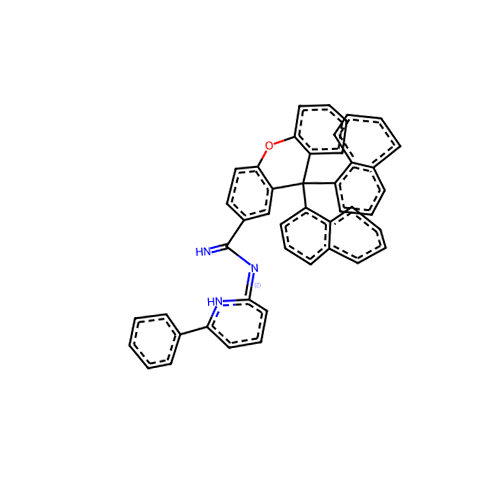 N=C(/N=c1/cccc(-c2ccccc2)[nH]1)c1ccc2c(c1)C(c1cccc3ccccc13)(c1cccc3ccccc13)c1ccccc1O2